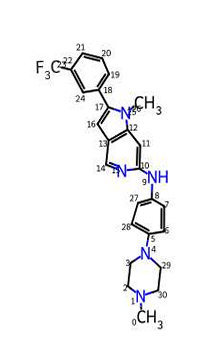 CN1CCN(c2ccc(Nc3cc4c(cn3)cc(-c3cccc(C(F)(F)F)c3)n4C)cc2)CC1